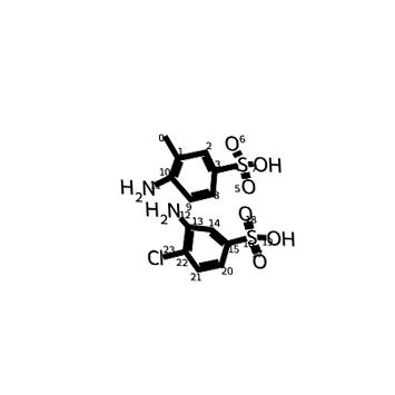 Cc1cc(S(=O)(=O)O)ccc1N.Nc1cc(S(=O)(=O)O)ccc1Cl